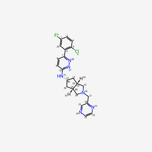 Fc1ccc(Cl)c(-c2ccc(N[C@@H]3C[C@@H]4CN(Cc5cnccn5)C[C@@H]4C3)nn2)c1